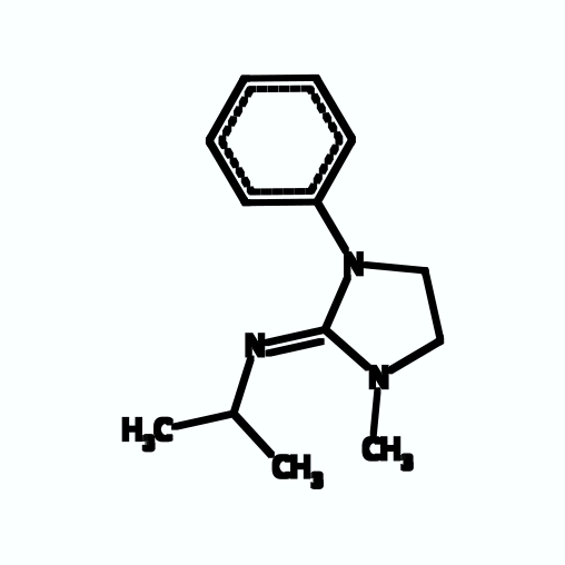 CC(C)/N=C1\N(C)CCN1c1ccccc1